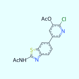 CC(=O)Nc1nc2ccc(-c3cnc(Cl)c(OC(C)=O)c3)cc2s1